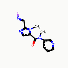 CN(C(=O)c1cnc(/C=N/I)n1C)c1cccnc1